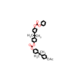 CC(=O)Oc1ccc(C(C)(C)c2ccc(OC(=O)Oc3ccc(C(C)(C)c4ccc(OC(=O)Oc5ccccc5)cc4)cc3)cc2)cc1